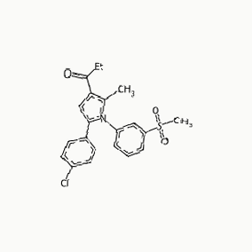 CCC(=O)c1cc(-c2ccc(Cl)cc2)n(-c2cccc(S(C)(=O)=O)c2)c1C